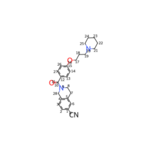 N#Cc1ccc2c(c1)CCN(C(=O)c1ccc(OCCCN3CCCCC3)cc1)C2